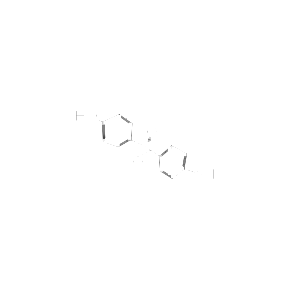 O=S(=O)(c1ccc(O)cc1)c1ccc(S)cc1